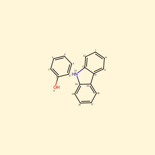 Oc1ccccc1.c1ccc2c(c1)[nH]c1ccccc12